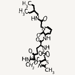 CCC(CC)CNC(=O)Cn1cccc(NC(=O)C(CCC(=O)C(=O)NC)NS(=O)(=O)c2sc(C)nc2C)c1=O